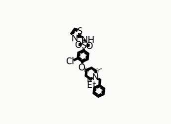 CC[C@@H]1C[C@H](Oc2ccc(S(=O)(=O)Nc3nccs3)cc2Cl)C[C@H](C)N1Cc1ccccc1